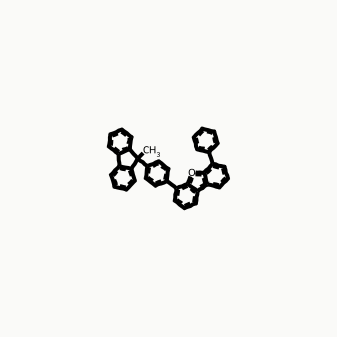 CC1(c2ccc(-c3cccc4c3oc3c(-c5ccccc5)cccc34)cc2)c2ccccc2-c2ccccc21